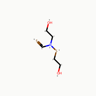 OCCSN([C]=S)CCO